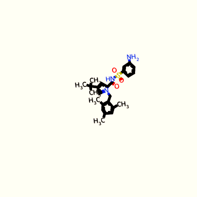 Cc1cc(C)c(Cn2cc(C(C)(C)C)cc2C(=O)NS(=O)(=O)c2cccc(N)c2)c(C)c1